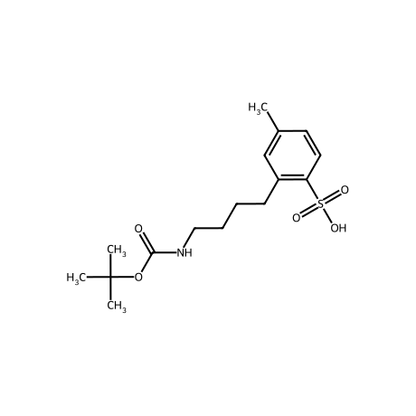 Cc1ccc(S(=O)(=O)O)c(CCCCNC(=O)OC(C)(C)C)c1